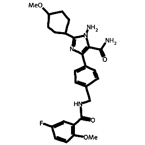 COc1ccc(F)cc1C(=O)NCc1ccc(-c2nc(C3CCC(OC)CC3)n(N)c2C(N)=O)cc1